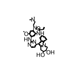 C=CC(=O)Nc1cc(Nc2nccc(-c3c4n(c5ccccc35)CC(O)C(O)C4)n2)c(OC)cc1N(C)CCN(C)C